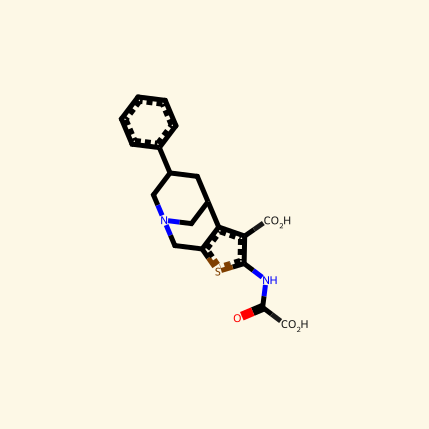 O=C(O)C(=O)Nc1sc2c(c1C(=O)O)C1CC(c3ccccc3)CN(C2)C1